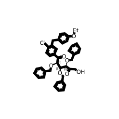 CCOc1ccc(Cc2cc(C(=O)[C@H](OCc3ccccc3)[C@H](OCc3ccccc3)[C@H](OCc3ccccc3)C(=O)CO)ccc2Cl)cc1